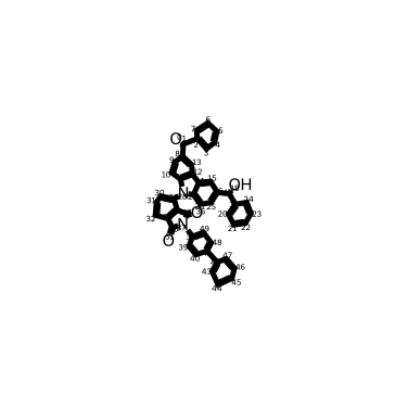 O=C(c1ccccc1)c1ccc2c(c1)c1cc(C(O)c3ccccc3)ccc1n2-c1cccc2c1C(=O)N(c1ccc(-c3ccccc3)cc1)C2=O